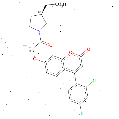 C[C@@H](Oc1ccc2c(-c3ccc(F)cc3Cl)cc(=O)oc2c1)C(=O)N1CC[C@@H](CC(=O)O)C1